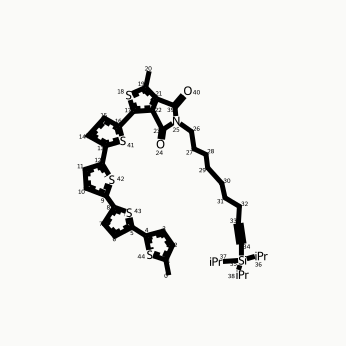 Cc1ccc(-c2ccc(-c3ccc(-c4ccc(-c5sc(C)c6c5C(=O)N(CCCCCCCC#C[Si](C(C)C)(C(C)C)C(C)C)C6=O)s4)s3)s2)s1